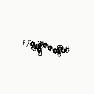 CN(C1CCN(C2CCN(c3ccc4c(c3)C(=O)N(C3CCC(=O)NC3=O)C4=O)CC2)CC1)S(=O)(=O)Nc1ccc(Cl)cc1C(=O)Nc1ccc(C(F)(F)F)cc1Cl